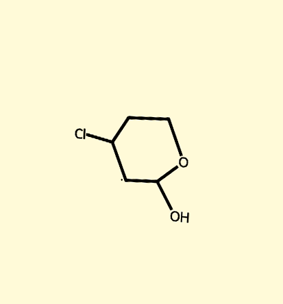 OC1[CH]C(Cl)CCO1